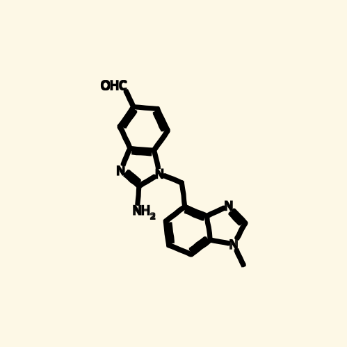 Cn1cnc2c(Cn3c(N)nc4cc(C=O)ccc43)cccc21